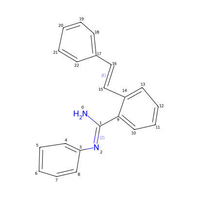 N/C(=N\c1ccccc1)c1ccccc1/C=C/c1ccccc1